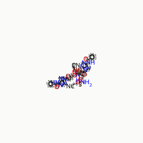 N#CCCOP(N)(=S)OC[C@H]1O[C@@H](n2cnc3c(NC(=O)c4ccccc4)ncnc32)[C@H](O)[C@@H]1NP(=S)(OCCC#N)OC[C@@H]1CC[C@H](n2cnc3c(NC(=O)c4ccccc4)ncnc32)O1